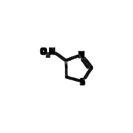 O=[N+]([O-])C1CSC=N1